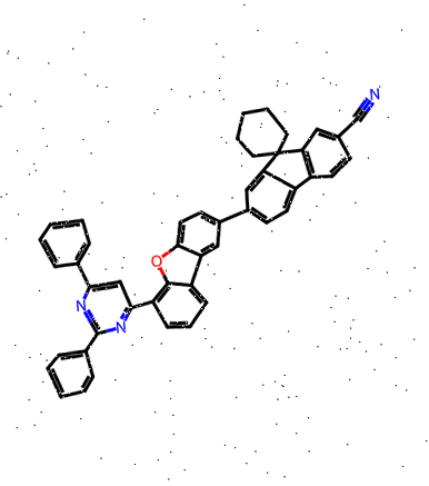 N#Cc1ccc2c(c1)C1(CCCCC1)c1cc(-c3ccc4oc5c(-c6cc(-c7ccccc7)nc(-c7ccccc7)n6)cccc5c4c3)ccc1-2